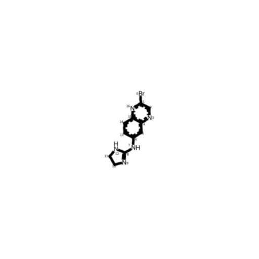 Brc1cnc2cc(NC3=NCCN3)ccc2n1